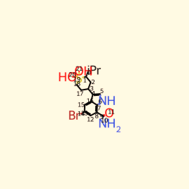 CC(C)C1CC(c2c[nH]c3c(C(N)=O)cc(Br)cc23)CCS1(O)O